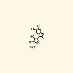 OC[C@H]1OC(c2c(Cl)nc3cc(Cl)c(Cl)cn23)[C@H](O)[C@@H]1O